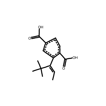 CC=C(c1cc(C(=O)O)ccc1C(=O)O)C(C)(C)C